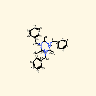 CC1N(Cc2ccccc2)C(C)N(Cc2ccccc2)C(C)N1Cc1ccccc1